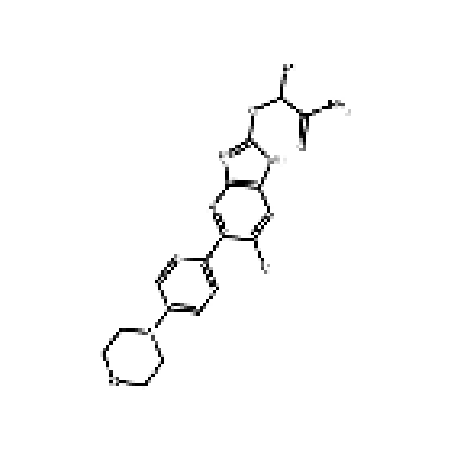 CC(C)C(Oc1nc2nc(-c3ccc(N4CCOCC4)cc3)c(Cl)cc2[nH]1)C(N)=O